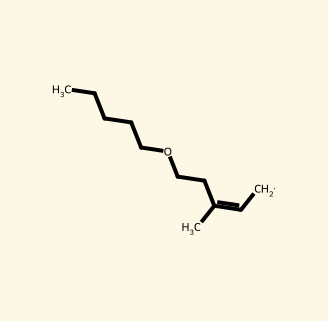 [CH2]C=C(C)CCOCCCCC